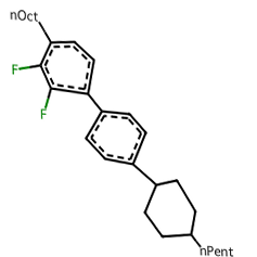 CCCCCCCCc1ccc(-c2ccc(C3CCC(CCCCC)CC3)cc2)c(F)c1F